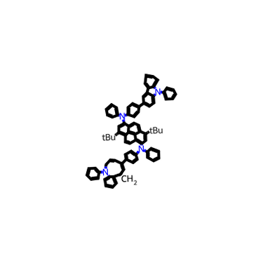 C=C1/C=C(c2ccc(N(c3ccccc3)c3cc(C(C)(C)C)c4ccc5c(N(c6ccccc6)c6ccc(-c7ccc8c(c7)c7ccccc7n8-c7ccccc7)cc6)cc(C(C)(C)C)c6ccc3c4c56)cc2)\C=C/CN(c2ccccc2)c2ccccc21